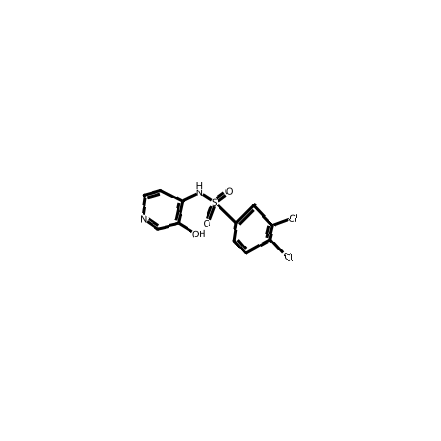 O=S(=O)(Nc1ccncc1O)c1ccc(Cl)c(Cl)c1